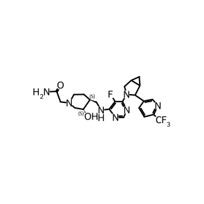 NC(=O)CN1CC[C@@H](CNc2ncnc(N3CC4CC4C3c3ccc(C(F)(F)F)nc3)c2F)[C@H](O)C1